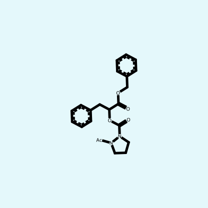 CC(=O)N1CCCN1C(=O)OC(Cc1ccccc1)C(=O)OCc1ccccc1